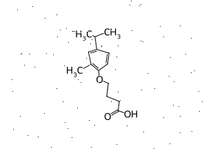 Cc1cc(C(C)C)ccc1OCCCC(=O)O